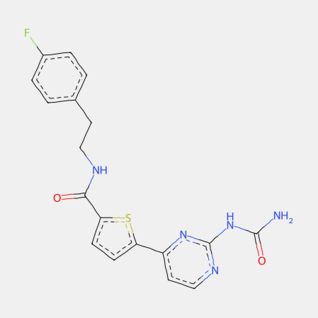 NC(=O)Nc1nccc(-c2ccc(C(=O)NCCc3ccc(F)cc3)s2)n1